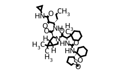 CCC[C@H](NC(=O)[C@@H]1[C@@H]2[C@H](CN1C(=O)[C@@H](NC(=O)NC1([C@H]3CCCS3(=O)=O)CCCCC1)C1(C)CCCCC1)C2(C)C)C(=O)C(=O)NC1CC1